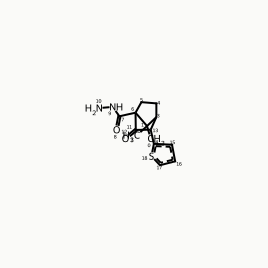 CC1(C)C2CCC1(C(=O)NN)C(=O)C2c1cccs1